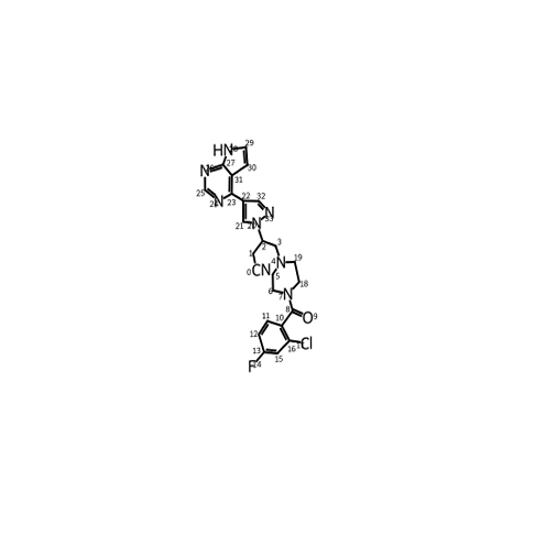 N#CCC(CN1CCN(C(=O)c2ccc(F)cc2Cl)CC1)n1cc(-c2ncnc3[nH]ccc23)cn1